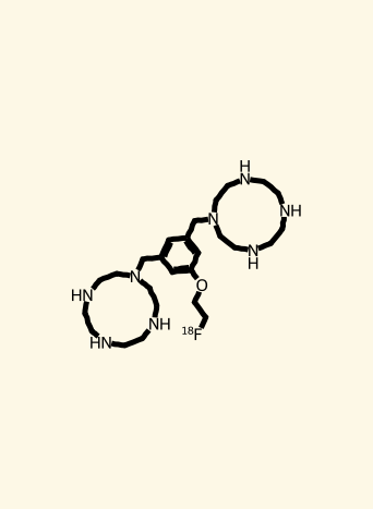 [18F]CCOc1cc(CN2CCNCCNCCNCC2)cc(CN2CCNCCNCCNCC2)c1